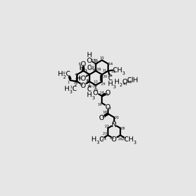 C=C[C@@]1(C)CC(=O)[C@@]2(O)[C@](C)(O1)[C@@H](OC(=O)COC(=O)CN1CC(C)OC(C)C1)C=C1C(C)(C)CC[C@H](O)[C@@]12C.Cl.O